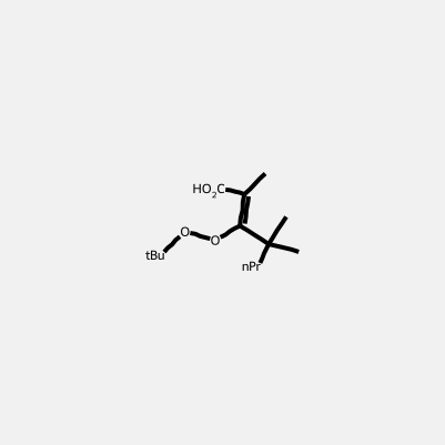 CCCC(C)(C)C(OOC(C)(C)C)=C(C)C(=O)O